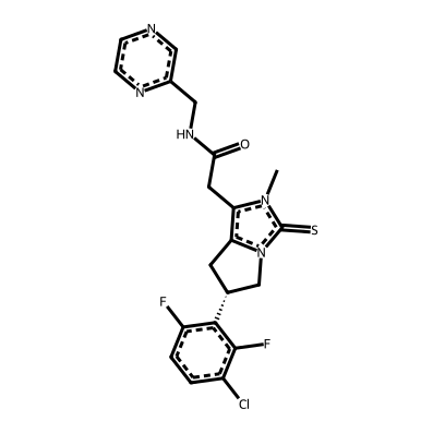 Cn1c(CC(=O)NCc2cnccn2)c2n(c1=S)C[C@H](c1c(F)ccc(Cl)c1F)C2